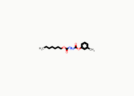 CCCCCCCOC(=O)/N=N/C(=O)Oc1cccc(C)c1